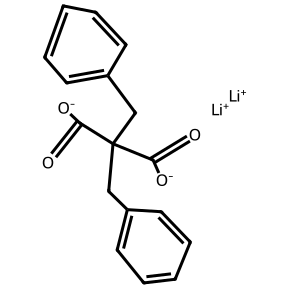 O=C([O-])C(Cc1ccccc1)(Cc1ccccc1)C(=O)[O-].[Li+].[Li+]